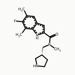 Cc1cc2cc(C(=O)N(C)C[C@@H]3CCNC3)[nH]c2c(C)c1F